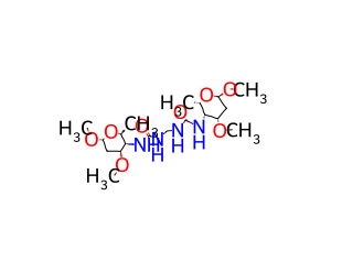 CO[C@H]1C[C@H](OC)[C@H](NC(=O)NCNC(=O)N[C@@H]2[C@H](C)O[C@@H](OC)C[C@@H]2OC)[C@H](C)O1